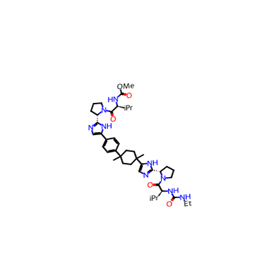 CCNC(=O)N[C@H](C(=O)N1CCC[C@H]1c1ncc(C2(C)CCC(C)(c3ccc(-c4cnc([C@@H]5CCCN5C(=O)[C@@H](NC(=O)OC)C(C)C)[nH]4)cc3)CC2)[nH]1)C(C)C